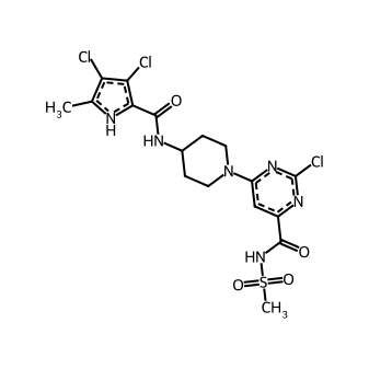 Cc1[nH]c(C(=O)NC2CCN(c3cc(C(=O)NS(C)(=O)=O)nc(Cl)n3)CC2)c(Cl)c1Cl